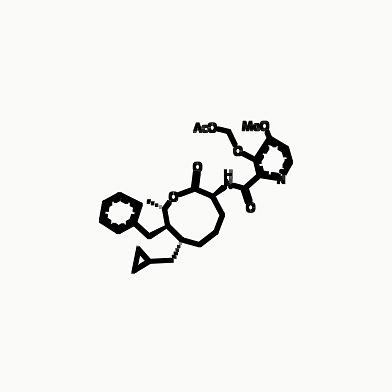 COc1ccnc(C(=O)N[C@H]2CCC[C@H](CC3CC3)[C@@H](Cc3ccccc3)[C@H](C)OC2=O)c1OCOC(C)=O